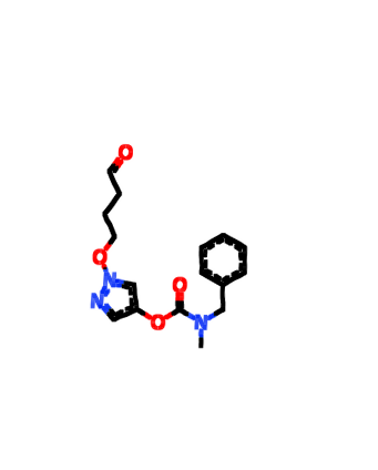 CN(Cc1ccccc1)C(=O)Oc1cnn(OCCCC=O)c1